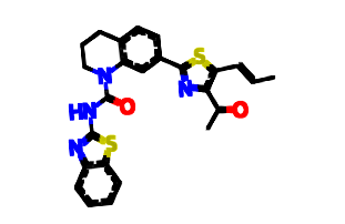 C/C=C/c1sc(-c2ccc3c(c2)N(C(=O)Nc2nc4ccccc4s2)CCC3)nc1C(C)=O